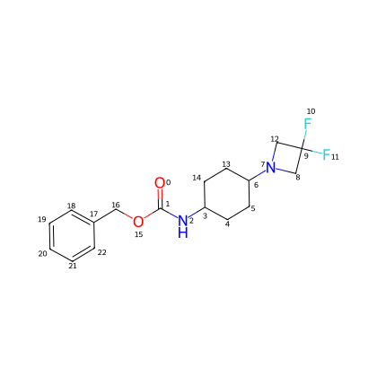 O=C(NC1CCC(N2CC(F)(F)C2)CC1)OCc1ccccc1